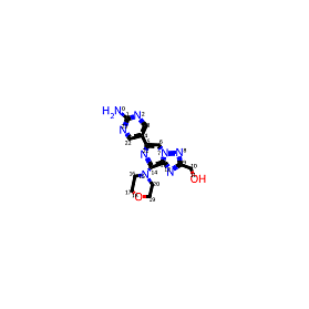 Nc1ncc(-c2cn3nc(CO)nc3c(N3CCOCC3)n2)cn1